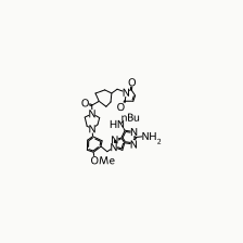 CCCCNc1nc(N)nc2cn(Cc3cc(N4CCN(C(=O)C5CCC(CN6C(=O)C=CC6=O)CC5)CC4)ccc3OC)nc12